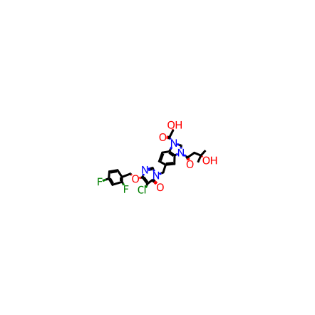 CC(C)(O)CC(=O)N1CN(C(=O)CO)c2ccc(Cn3cnc(OCc4ccc(F)cc4F)c(Cl)c3=O)cc21